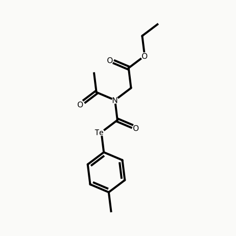 CCOC(=O)CN(C(C)=O)C(=O)[Te]c1ccc(C)cc1